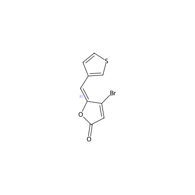 O=C1C=C(Br)/C(=C\c2ccsc2)O1